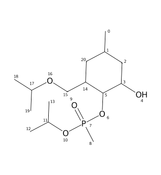 CC1CC(O)C(OP(C)(=O)OC(C)C)C(COC(C)C)C1